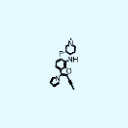 CC#Cc1oc2c(N[C@H]3CCN(C)C[C@H]3F)cccc2c1-n1cccc1